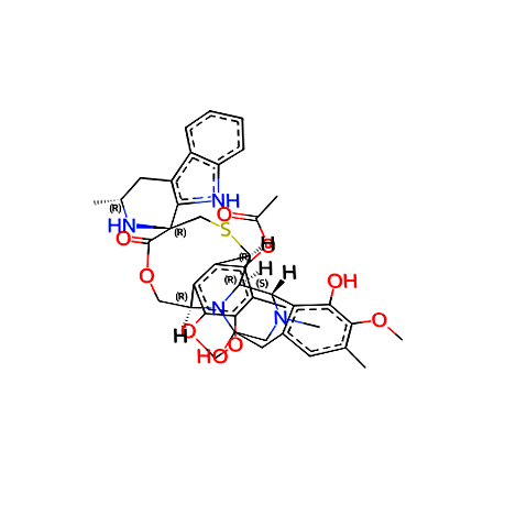 COc1c(C)cc2c(c1O)[C@H]1[C@@H]3[C@@H]4SC[C@]5(N[C@H](C)Cc6c5[nH]c5ccccc65)C(=O)OC[C@@H](c5c6c(c(C)c(OC(C)=O)c54)OCO6)N3C(O)(C2)CN1C